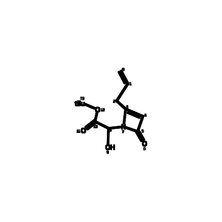 C=CCC1=CC(=O)N1C(O)C(=O)OC(C)(C)C